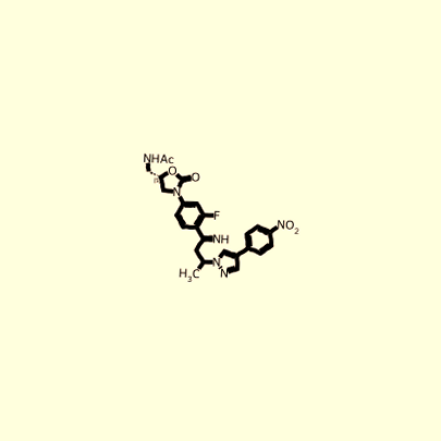 CC(=O)NC[C@H]1CN(c2ccc(C(=N)CC(C)n3cc(-c4ccc([N+](=O)[O-])cc4)cn3)c(F)c2)C(=O)O1